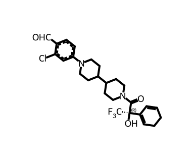 O=Cc1ccc(N2CCC(C3CCN(C(=O)[C@](O)(C4=CCCC=C4)C(F)(F)F)CC3)CC2)cc1Cl